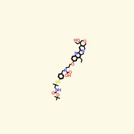 CCc1c2c(nc3ccc(OCCCN(Cc4ccc(SSC(C)(C)CNC(=O)OC(C)(C)C)cc4)C(=O)O)cc13)C1=CC3=C(COC[C@]3(O)CC)CN1C2